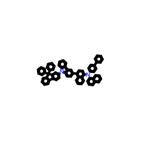 c1ccc(-c2ccc(N(c3cccc4ccccc34)c3ccc(-c4ccc5c(c4)c4ccccc4n5-c4ccc5c(c4)C(c4ccccc4)(c4ccccc4)c4ccccc4-5)c4ccccc34)cc2)cc1